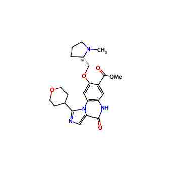 COC(=O)c1cc2[nH]c(=O)c3cnc(C4CCOCC4)n3c2cc1OC[C@@H]1CCCN1C